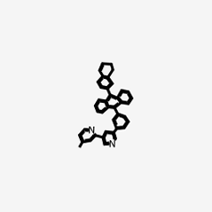 Cc1ccnc(-c2cncc(-c3cccc(-c4c5ccccc5c(-c5ccc6c(c5)CCC=C6)c5ccccc45)c3)c2)c1